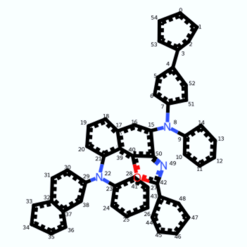 c1ccc(-c2ccc(N(c3ccccc3)c3cc4cccc(N(c5ccccc5)c5ccc6ccccc6c5)c4c4oc(-c5ccccc5)nc34)cc2)cc1